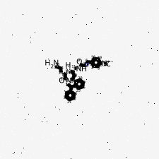 [C-]#[N+]c1ccc(/C=C/C(=O)NC[C@@H]2CCN(CC(c3ccccc3)c3ccccc3)C(=O)[C@H](CCCN)N2)cc1